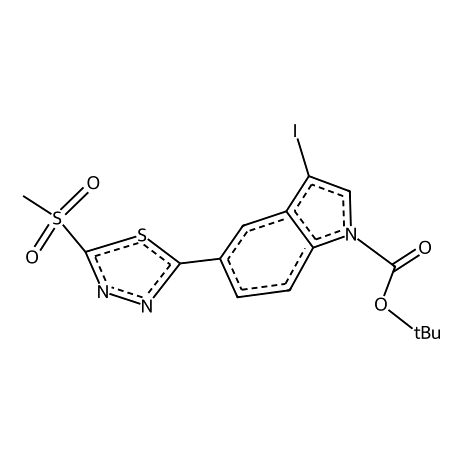 CC(C)(C)OC(=O)n1cc(I)c2cc(-c3nnc(S(C)(=O)=O)s3)ccc21